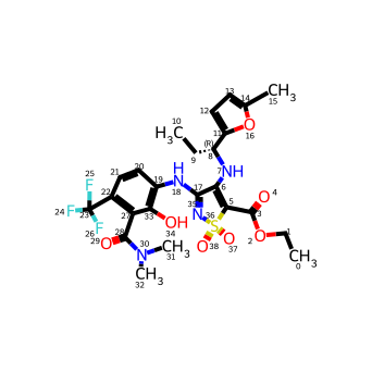 CCOC(=O)C1=C(N[C@H](CC)c2ccc(C)o2)C(Nc2ccc(C(F)(F)F)c(C(=O)N(C)C)c2O)=NS1(=O)=O